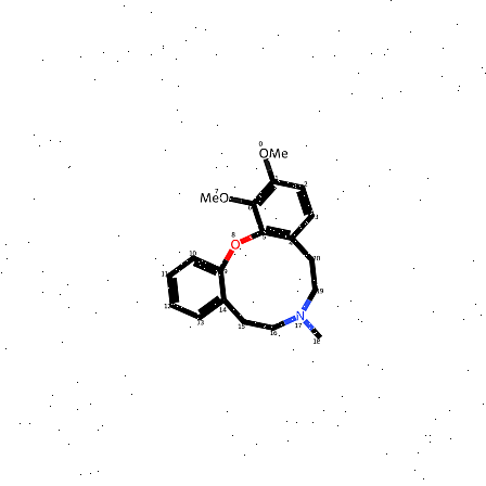 COc1ccc2c(c1OC)Oc1ccccc1CCN(C)CC2